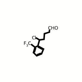 O=CCCCC(Cl)c1ccccc1C(F)(F)F